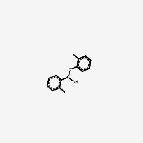 Cc1ccccc1OB(O)c1ccccc1C